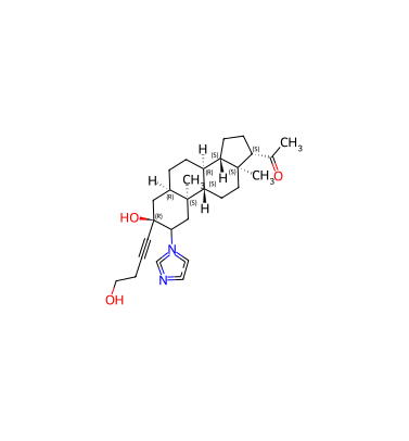 CC(=O)[C@H]1CC[C@H]2[C@@H]3CC[C@@H]4C[C@@](O)(C#CCCO)C(n5ccnc5)C[C@]4(C)[C@H]3CC[C@]12C